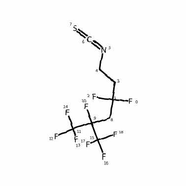 FC(F)(CCN=C=S)CC(F)(C(F)(F)F)C(F)(F)F